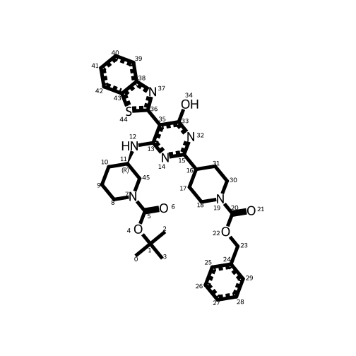 CC(C)(C)OC(=O)N1CCC[C@@H](Nc2nc(C3CCN(C(=O)OCc4ccccc4)CC3)nc(O)c2-c2nc3ccccc3s2)C1